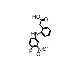 O=C(O)Cc1ccccc1Nc1ccc(F)c([N+](=O)[O-])c1